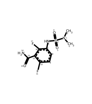 CN(C)S(=O)(=O)Nc1ccc(F)c(C(N)=O)c1F